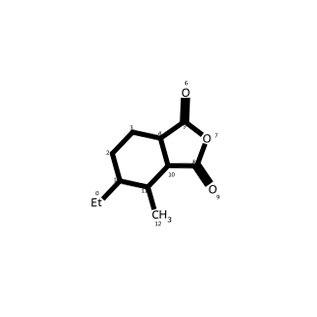 CCC1CCC2C(=O)OC(=O)C2C1C